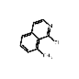 Cc1cccc2ccnc(Cl)c12